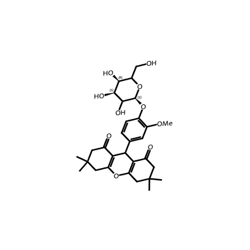 COc1cc(C2C3=C(CC(C)(C)CC3=O)OC3=C2C(=O)CC(C)(C)C3)ccc1O[C@@H]1OC(CO)[C@H](O)[C@H](O)C1O